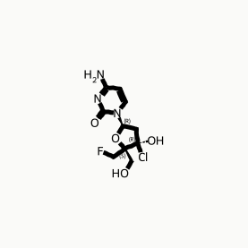 Nc1ccn([C@H]2C[C@@](O)(Cl)[C@](CO)(CF)O2)c(=O)n1